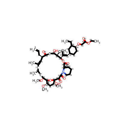 C=CC[C@@H]1/C=C(\C)C[C@H](C)C[C@H](OC)[C@H]2O[C@@](O)(C(=O)C(=O)N3CCCC[C@H]3C(=O)O[C@H](/C(C)=C/[C@@H]3CC[C@@H](OCC(=O)OCC)C(CC)C3)[C@H](C)[C@@H](O)CC1=O)[C@H](C)C[C@@H]2OC